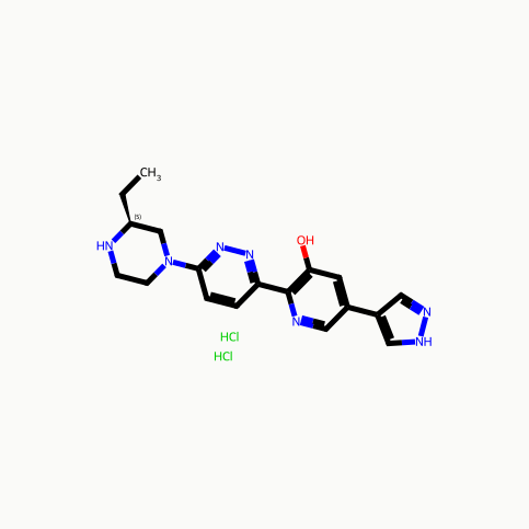 CC[C@H]1CN(c2ccc(-c3ncc(-c4cn[nH]c4)cc3O)nn2)CCN1.Cl.Cl